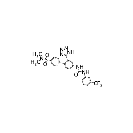 CN(C)S(=O)(=O)c1ccc(-c2ccc(NC(=O)Nc3cccc(C(F)(F)F)c3)cc2-c2nnn[nH]2)cc1